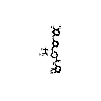 O=C(Nc1cccc2nsnc12)N1CCN(Cc2cccc(Oc3ccc(Cl)c(Cl)c3)c2)CC1.O=C(O)C(F)(F)F